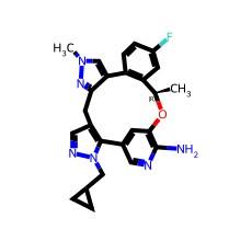 C[C@H]1Oc2cc(cnc2N)-c2c(cnn2CC2CC2)Cc2nn(C)cc2-c2ccc(F)cc21